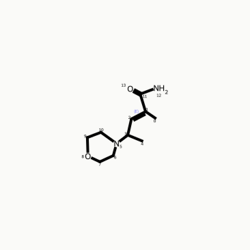 C/C(=C\C(C)N1CCOCC1)C(N)=O